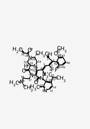 C#C/C(=C(F)\C=C1/CN(c2c(C(C)C)ccnc2C)C(=O)C2=C1N1C[C@@H](C)N(C(=O)C=C)C[C@@H]1C(=O)N2CCN(C)C)c1c(F)cccc1OC